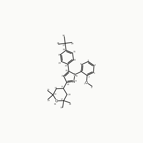 COc1ccccc1-n1nc(C2CC(C)(C)OC(C)(C)C2)cc1-c1ccc(C(C)(C)C)cc1